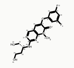 Cn1c(=O)c(Oc2cc(F)cc(F)c2)cc2cnc(N[C@@H](CO)CCO)nc21